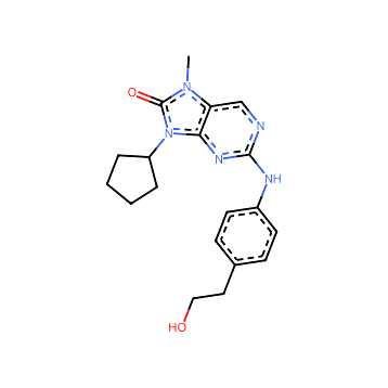 Cn1c(=O)n(C2CCCC2)c2nc(Nc3ccc(CCO)cc3)ncc21